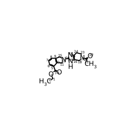 CCOC(=O)c1cccc2c1CN(c1nc3c([nH]1)CN(C(C)=O)CC3)C2